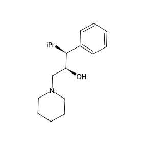 CC(C)[C@@H](c1ccccc1)[C@@H](O)CN1CCCCC1